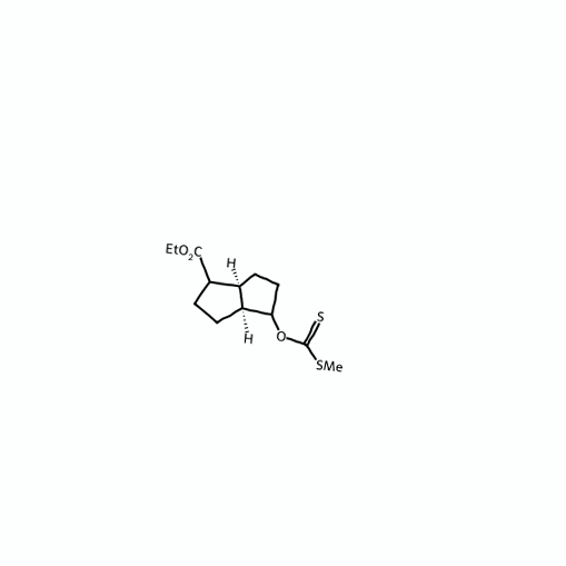 CCOC(=O)C1CC[C@@H]2C(OC(=S)SC)CC[C@H]12